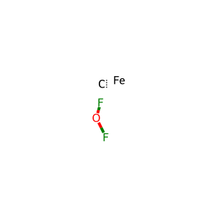 FOF.[C].[Fe]